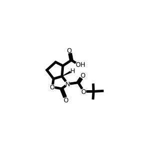 CC(C)(C)OC(=O)N1C(=O)OC2CCC(C(=O)O)[C@@H]21